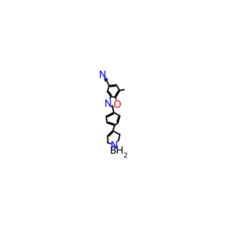 BN1CC=C(c2ccc(-c3nc4cc(C#N)cc(C)c4o3)cc2)CC1